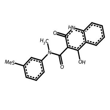 CSc1cccc(N(C)C(=O)c2c(O)c3ccccc3[nH]c2=O)c1